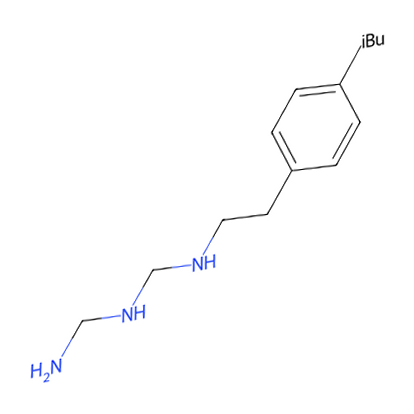 CCC(C)c1ccc(CCNCNCN)cc1